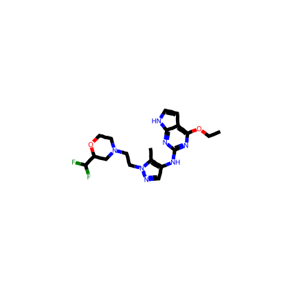 CCOc1nc(Nc2cnn(CCN3CCOC(C(F)F)C3)c2C)nc2[nH]ccc12